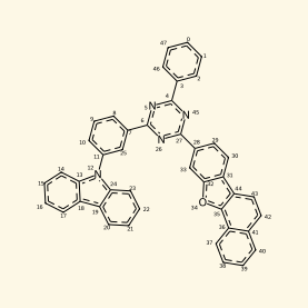 c1ccc(-c2nc(-c3cccc(-n4c5ccccc5c5ccccc54)c3)nc(-c3ccc4c(c3)oc3c5ccccc5ccc43)n2)cc1